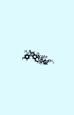 COC(=O)[C@]12CC3=C(C=C1CCN(S(=O)(=O)c1cn(C)nn1)C2)N(c1ccc(F)cc1)N(C)C3